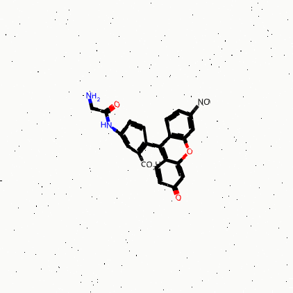 NCC(=O)Nc1ccc(-c2c3ccc(=O)cc-3oc3cc(N=O)ccc23)c(C(=O)O)c1